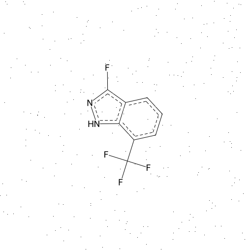 Fc1n[nH]c2c(C(F)(F)F)cccc12